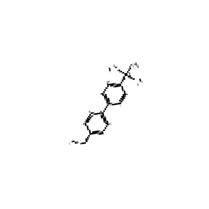 CC(C)(C)c1ccc(-c2ccc(C[O])cc2)cc1